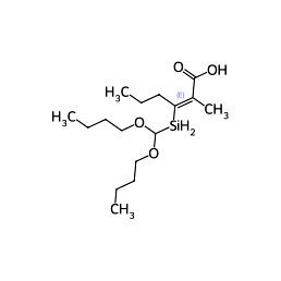 CCCCOC(OCCCC)[SiH2]/C(CCC)=C(\C)C(=O)O